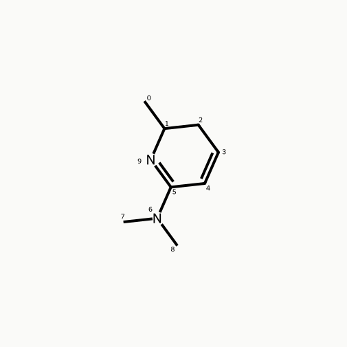 CC1CC=CC(N(C)C)=N1